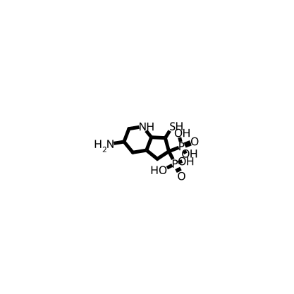 NC1CNC2C(C1)CC(P(=O)(O)O)(P(=O)(O)O)C2S